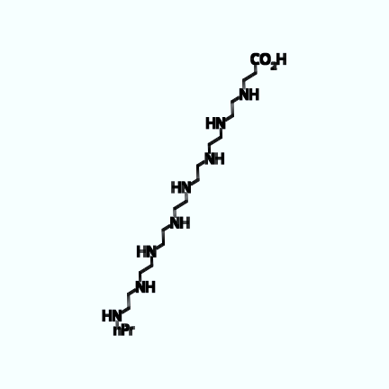 CCCNCCNCCNCCNCCNCCNCCNCCNCCC(=O)O